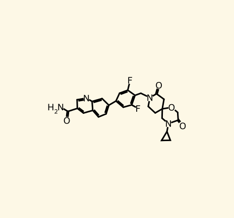 NC(=O)c1cnc2cc(-c3cc(F)c(CN4CCC5(CC4=O)CN(C4CC4)C(=O)CO5)c(F)c3)ccc2c1